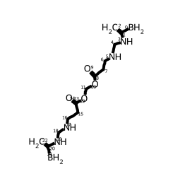 BC(=C)NCNCCC(=O)OCOC(=O)CCNCNC(B)=C